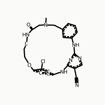 CN1CC(=O)NCCCOc2ccc(cc2Cl)Nc2nc(ncc2C#N)Nc2cccc(c2)C1